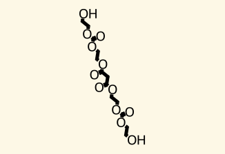 O=C(CC(=O)OCCOC(=O)OCCO)OCCOC(=O)OCCO